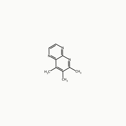 Cc1nc2nccnc2c(C)c1C